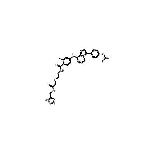 Cc1cc(Nc2nccn3c(-c4ccc(OC(F)F)cc4)cnc23)ccc1C(=O)NCCOCC(=O)NCc1nnn[nH]1